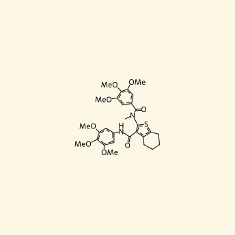 COc1cc(NC(=O)c2c(N(C)C(=O)c3cc(OC)c(OC)c(OC)c3)sc3c2CCCC3)cc(OC)c1OC